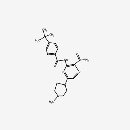 CN1CCN(c2cnc(C(N)=O)c(NC(=O)c3ccc(C(C)(C)C)cc3)n2)CC1